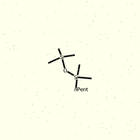 [CH2]CCCC[Si](C)(C)O[Si](C)(C)C